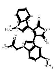 COc1ccc2c(c1)c(C1=C(c3cn(C)c4ccccc34)C(=O)OC1=O)cn2CC(=O)O